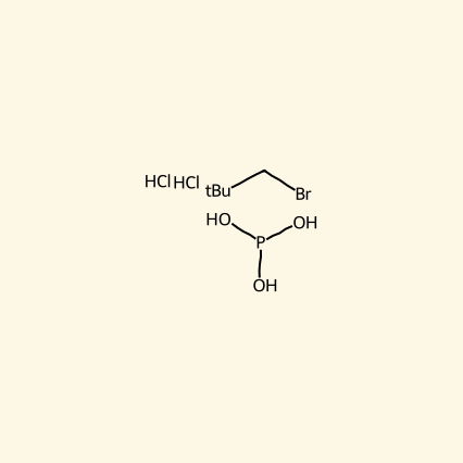 CC(C)(C)CBr.Cl.Cl.OP(O)O